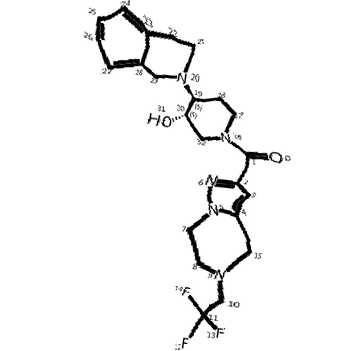 O=C(c1cc2n(n1)CCN(CC(F)(F)F)C2)N1CC[C@H](N2CCc3ccccc3C2)[C@@H](O)C1